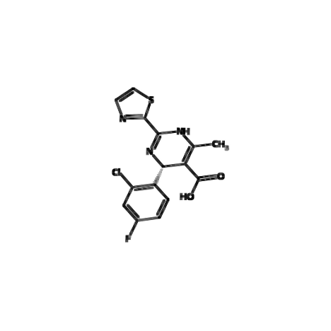 CC1=C(C(=O)O)[C@H](c2ccc(F)cc2Cl)N=C(c2nccs2)N1